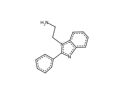 NCCn1c(-c2ccccc2)nc2ccccc21